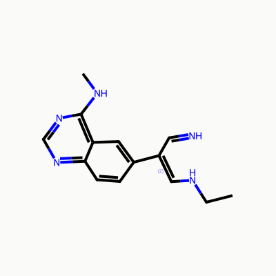 CCN/C=C(\C=N)c1ccc2ncnc(NC)c2c1